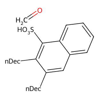 C=O.CCCCCCCCCCc1cc2ccccc2c(S(=O)(=O)O)c1CCCCCCCCCC